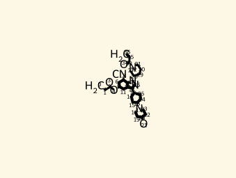 C=CC(=O)Oc1cc(C#N)c2c(c1)c(-c1ccc(-n3ccc(=O)cc3)cc1)nn2[C@@H]1CCCN(C(=O)C=C)C1